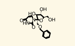 O=c1ccn([C@]2(COCc3ccccc3)O[C@H](CO)[C@@H](O)[C@H]2O)c(=O)[nH]1